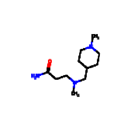 CN1CCC(CN(C)CCC(N)=O)CC1